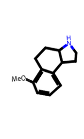 COc1cccc2c1CCC1NCCC21